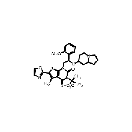 COc1ccccc1C(Cn1c(=O)n(C(C)(C)C(=O)O)c(=O)c2c(C)c(-c3ncco3)sc21)OC1CCN2CCCC2C1